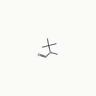 CN([C]=O)C(C)(C)C